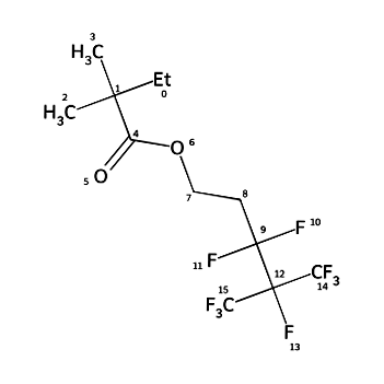 CCC(C)(C)C(=O)OCCC(F)(F)C(F)(C(F)(F)F)C(F)(F)F